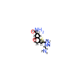 CN(C)CCn1ncnc1-c1cc2c(s1)-c1ccc(C(N)=O)cc1OCC2